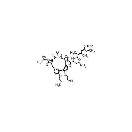 C=C/C(=C\C(C)=C(/C)C(=O)N[C@@H](CCN)C(=O)N[C@@H]1C(=O)N[C@@H](C2CC2)C(=O)N[C@H](C(=O)N[C@@H](C)C(C)=O)Cc2ccc(OCCN)c(c2)-c2cc1ccc2OCCN)CCCCCCC